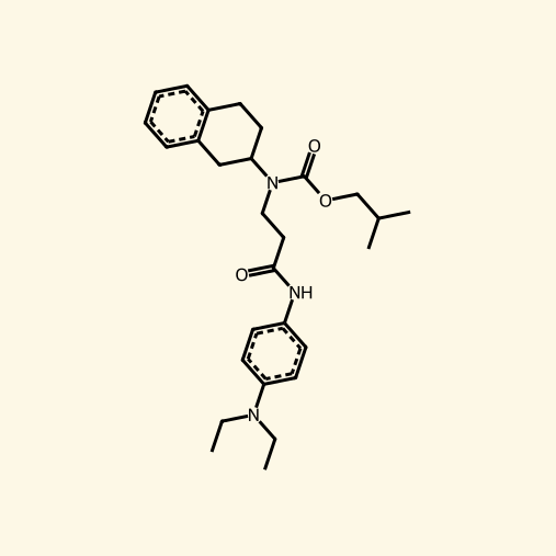 CCN(CC)c1ccc(NC(=O)CCN(C(=O)OCC(C)C)C2CCc3ccccc3C2)cc1